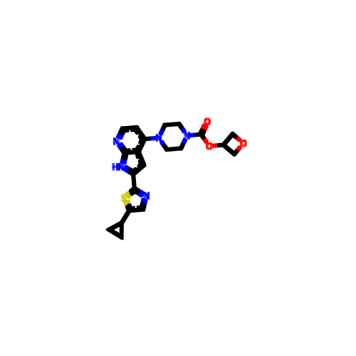 O=C(OC1COC1)N1CCN(c2ccnc3[nH]c(-c4ncc(C5CC5)s4)cc23)CC1